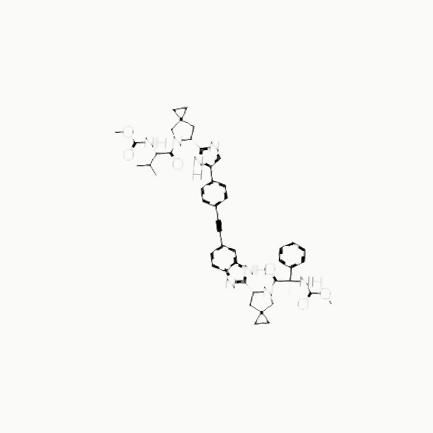 COC(=O)N[C@H](C(=O)N1CC2(CC2)C[C@H]1c1ncc(-c2ccc(C#Cc3ccc4nc([C@@H]5CC6(CC6)CN5C(=O)[C@](C)(NC(=O)OC)c5ccccc5)[nH]c4c3)cc2)[nH]1)C(C)C